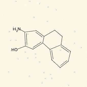 Nc1cc2c(cc1O)-c1ccccc1CC2